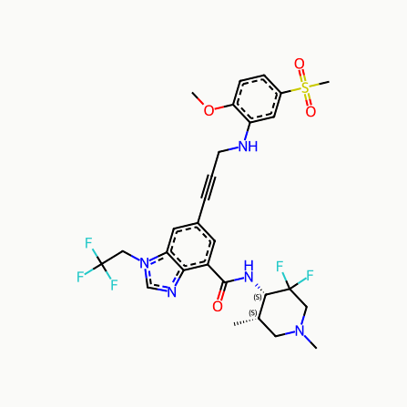 COc1ccc(S(C)(=O)=O)cc1NCC#Cc1cc(C(=O)N[C@H]2[C@@H](C)CN(C)CC2(F)F)c2ncn(CC(F)(F)F)c2c1